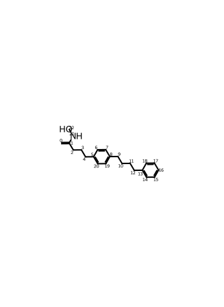 C=C(CCCc1ccc(CCCCc2ccccc2)cc1)NO